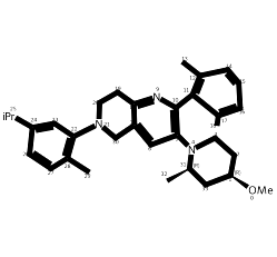 CO[C@@H]1CCN(c2cc3c(nc2-c2c(C)cccc2C)CCN(c2cc(C(C)C)ccc2C)C3)[C@H](C)C1